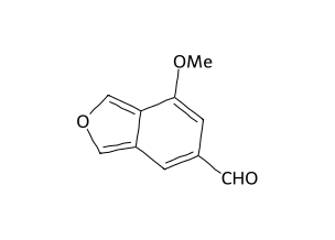 COc1cc(C=O)cc2cocc12